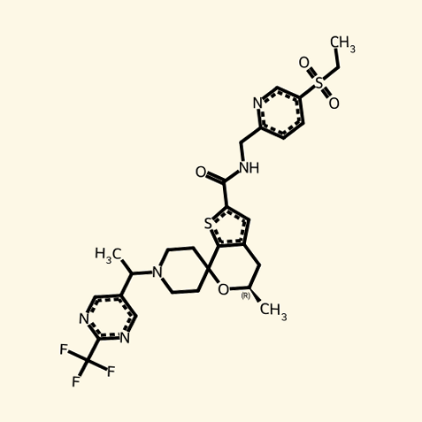 CCS(=O)(=O)c1ccc(CNC(=O)c2cc3c(s2)C2(CCN(C(C)c4cnc(C(F)(F)F)nc4)CC2)O[C@H](C)C3)nc1